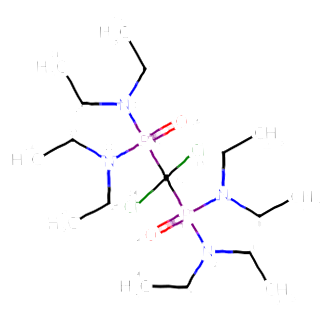 CCN(CC)P(=O)(N(CC)CC)C(Cl)(Cl)P(=O)(N(CC)CC)N(CC)CC